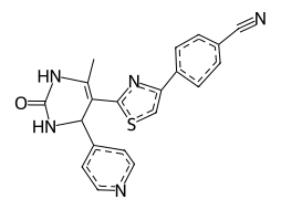 CC1=C(c2nc(-c3ccc(C#N)cc3)cs2)C(c2ccncc2)NC(=O)N1